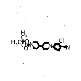 CC(C)(C)OC(=O)N1CCC(C2CCN(c3ccc(C#N)c(Cl)c3)CC2)CC1